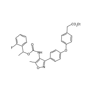 CCOC(=O)Cc1ccc(Oc2ccc(-c3noc(C)c3NC(=O)OC(C)c3ccccc3F)cc2)cc1